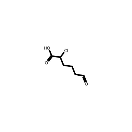 O=CCCCC(Cl)C(=O)O